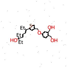 CCC(=CC=CC(O)(CC)CC)c1cc(COc2ccc(CO)c(CO)c2)cs1